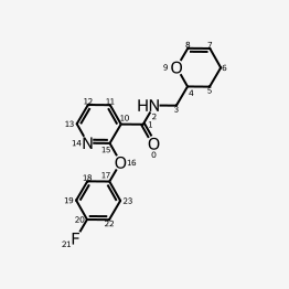 O=C(NCC1CCC=CO1)c1cccnc1Oc1ccc(F)cc1